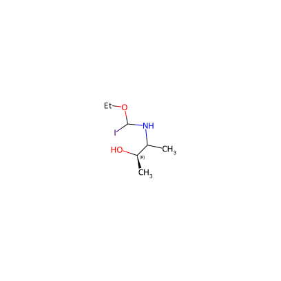 CCOC(I)NC(C)[C@@H](C)O